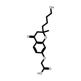 CC1(CCCCO)CC(=O)c2ccc(OCC(=O)O)cc2O1